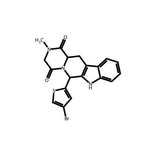 CN1CC(=O)N2C(Cc3c([nH]c4ccccc34)C2c2cc(Br)cs2)C1=O